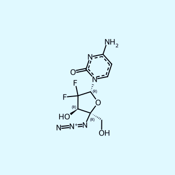 [N-]=[N+]=N[C@]1(CO)O[C@@H](n2ccc(N)nc2=O)C(F)(F)[C@@H]1O